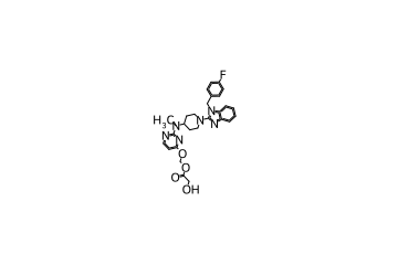 CN(c1nccc(OCOC(=O)CO)n1)C1CCN(c2nc3ccccc3n2Cc2ccc(F)cc2)CC1